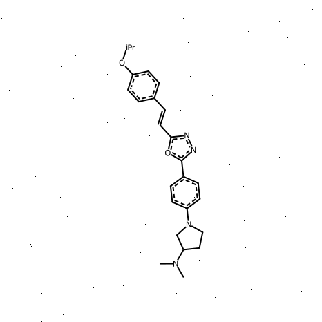 CC(C)Oc1ccc(/C=C/c2nnc(-c3ccc(N4CCC(N(C)C)C4)cc3)o2)cc1